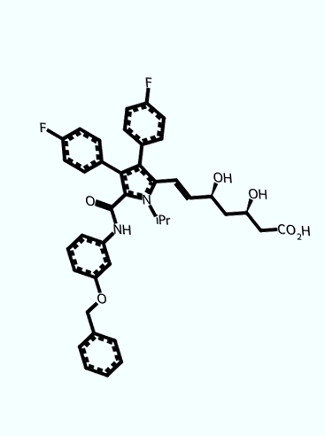 CC(C)n1c(/C=C/[C@@H](O)C[C@@H](O)CC(=O)O)c(-c2ccc(F)cc2)c(-c2ccc(F)cc2)c1C(=O)Nc1cccc(OCc2ccccc2)c1